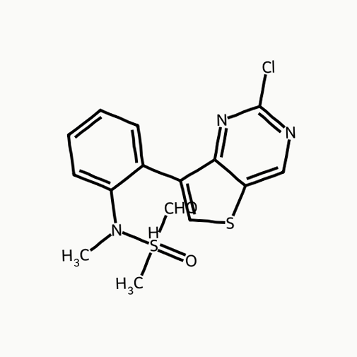 CN(c1ccccc1-c1csc2cnc(Cl)nc12)[SH](C)(=O)C=O